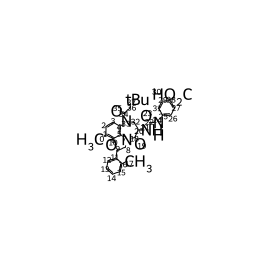 Cc1ccc2c(c1)N(CC(=O)c1ccccc1C)C(=O)C(NC(=O)Nc1cccc(C(=O)O)c1)CN2C(=O)CC(C)(C)C